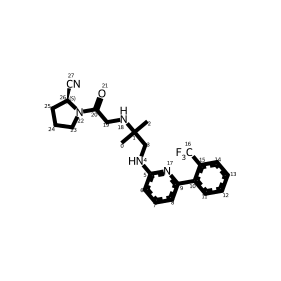 CC(C)(CNc1cccc(-c2ccccc2C(F)(F)F)n1)NCC(=O)N1CCC[C@H]1C#N